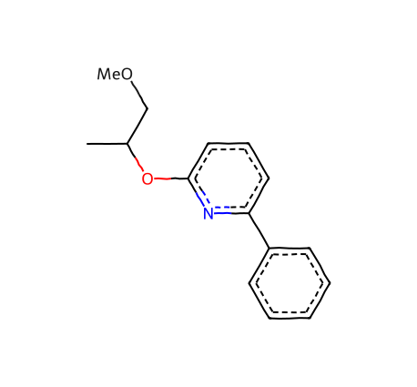 COCC(C)Oc1cccc(-c2ccccc2)n1